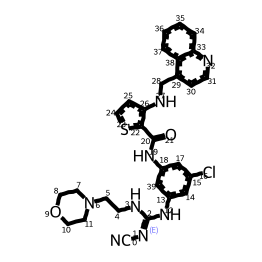 N#C/N=C(\NCCN1CCOCC1)Nc1cc(Cl)cc(NC(=O)c2sccc2NCc2ccnc3ccccc23)c1